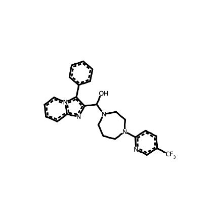 OC(c1nc2ccccn2c1-c1ccccc1)N1CCCN(c2ccc(C(F)(F)F)cn2)CC1